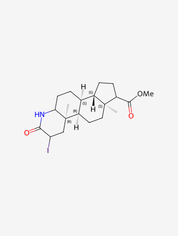 COC(=O)C1CC[C@H]2[C@@H]3CCC4NC(=O)C(I)C[C@]4(C)[C@@H]3CC[C@]12C